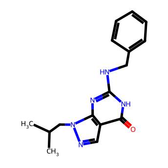 CC(C)Cn1ncc2c(=O)[nH]c(NCc3ccccc3)nc21